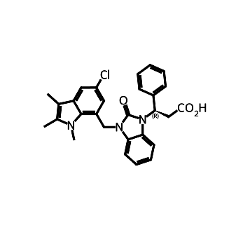 Cc1c(C)n(C)c2c(Cn3c(=O)n([C@H](CC(=O)O)c4ccccc4)c4ccccc43)cc(Cl)cc12